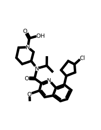 COc1cc2cccc(C3CCC(Cl)C3)c2nc1C(=O)N(C(C)C)C1CCCN(C(=O)O)C1